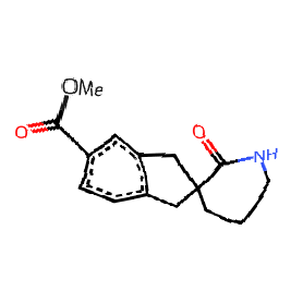 COC(=O)c1ccc2c(c1)CC1(CCCNC1=O)C2